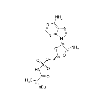 CCCC[C@H](C)C(=O)NS(=O)(=O)OC[C@@H]1O[C@@H](N)[C@@H](n2cnc3c(N)ncnc32)O1